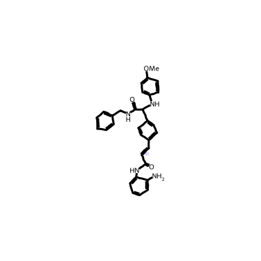 COc1ccc(NC(C(=O)NCc2ccccc2)c2ccc(/C=C/C(=O)Nc3ccccc3N)cc2)cc1